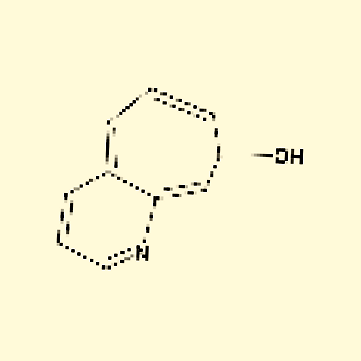 OC1C=CC=c2cccnc2=C1